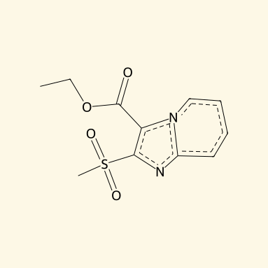 CCOC(=O)c1c(S(C)(=O)=O)nc2ccccn12